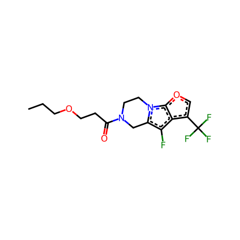 CCCOCCC(=O)N1CCn2c(c(F)c3c(C(F)(F)F)coc32)C1